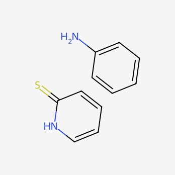 Nc1ccccc1.S=c1cccc[nH]1